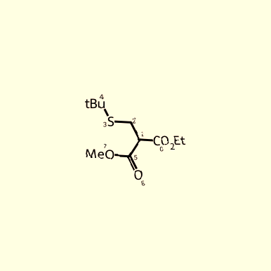 CCOC(=O)C(CSC(C)(C)C)C(=O)OC